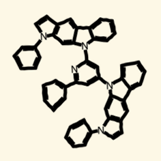 c1ccc(-c2cc(-n3c4ccccc4c4cc5ccn(-c6ccccc6)c5cc43)cc(-n3c4ccccc4c4cc5ccn(-c6ccccc6)c5cc43)n2)cc1